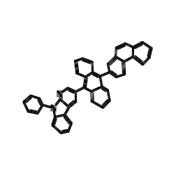 c1ccc(-n2c3ccccc3c3cc(-c4c5ccccc5c(-c5ccc6c(ccc7ccccc76)c5)c5ccccc45)cnc32)cc1